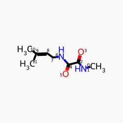 CNC(=O)C(=O)NCC=C(C)C